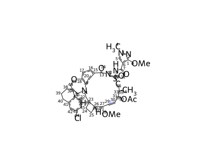 COc1nn(C)cc1C(=O)N[S@@]1(=O)=NC(=O)c2ccc3c(c2)N(C[C@@H]2CC[C@H]2[C@@H](OC)/C=C/[C@H](OC(C)=O)[C@H](C)C1)C[C@@]1(CCCc2cc(Cl)ccc21)CO3